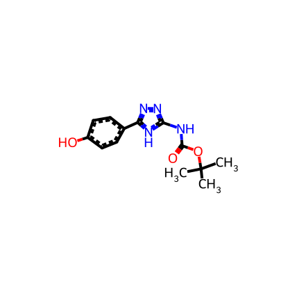 CC(C)(C)OC(=O)Nc1nnc(-c2ccc(O)cc2)[nH]1